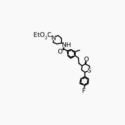 CCOC(=O)N1CCC(NC(=O)c2ccc(CCC3CC(c4ccc(F)cc4)SCC3=O)c(C)c2)CC1